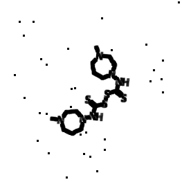 CN1CCCN(NC(=S)SSC(=S)NN2CCCN(C)CC2)CC1